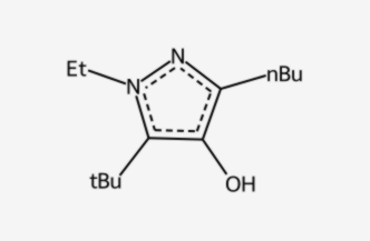 CCCCc1nn(CC)c(C(C)(C)C)c1O